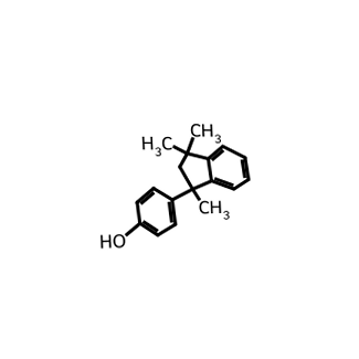 CC1(C)CC(C)(c2ccc(O)cc2)c2ccccc21